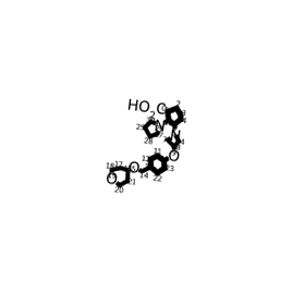 O=C(O)c1cccc(N2CC(Oc3ccc(COC4CCOCC4)cc3)C2)c1N1CCCC1